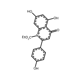 CCOC(=O)n1c(-c2ccc(O)cc2)cc(=O)c2c(O)cc(O)cc21